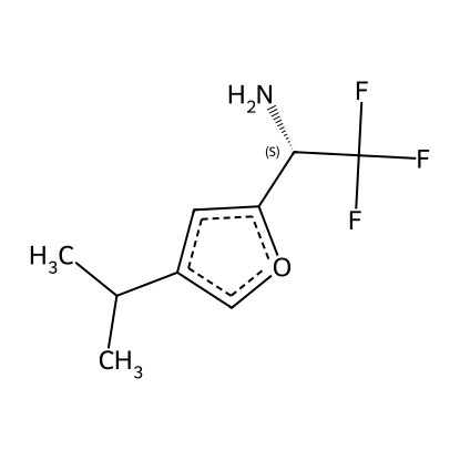 CC(C)c1coc([C@H](N)C(F)(F)F)c1